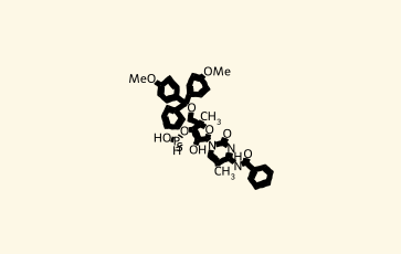 COc1ccc(C(OCC2(C)OC(n3cc(C)c(NC(=O)c4ccccc4)nc3=O)C(O)=C2O[PH](O)=S)(c2ccccc2)c2ccc(OC)cc2)cc1